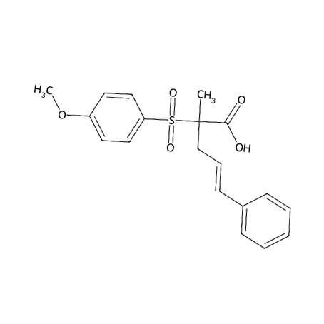 COc1ccc(S(=O)(=O)C(C)(CC=Cc2ccccc2)C(=O)O)cc1